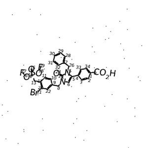 O=C(O)c1ccc(-c2cn(Cc3ccc(CP(=O)(OF)OF)c(Br)c3)c(=O)n2Cc2ccccc2)cc1